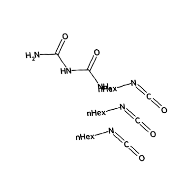 CCCCCCN=C=O.CCCCCCN=C=O.CCCCCCN=C=O.NC(=O)NC(N)=O